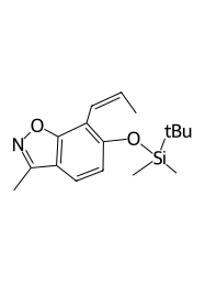 C/C=C\c1c(O[Si](C)(C)C(C)(C)C)ccc2c(C)noc12